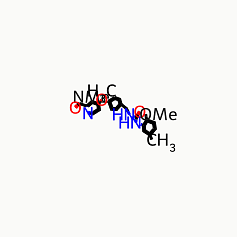 CNC(=O)c1cc(Oc2ccc(CNC(=O)Nc3cc(C)ccc3OC)cc2C)ccn1